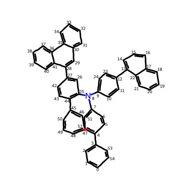 c1ccc(-c2ccc(N(c3ccc(-c4cccc5ccccc45)cc3)c3cc(-c4cc5ccccc5c5ccccc45)ccc3-c3ccccc3)cc2)cc1